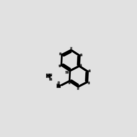 Brc1cccc2ccccc12.F